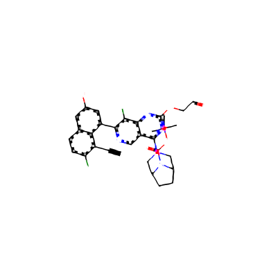 C#Cc1c(F)ccc2cc(O)cc(-c3ncc4c(N5CC6CCC(C5)N6C(=O)OC(C)(C)C)nc(OCC=O)nc4c3F)c12